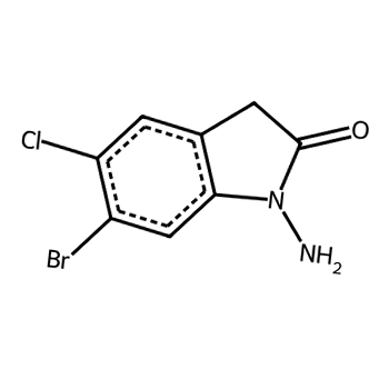 NN1C(=O)Cc2cc(Cl)c(Br)cc21